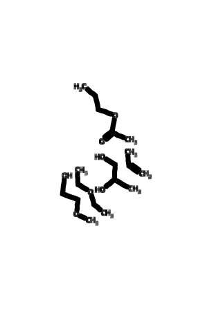 C=CC.CC(O)CO.CCCOC(C)=O.CCOCC.COCCO